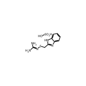 NC(N)=NSCc1nc2ccccc2[nH]1.O=S(=O)(O)O